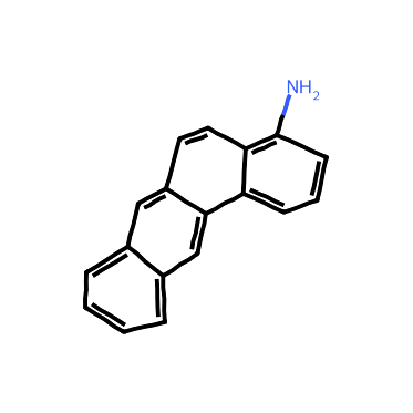 Nc1cccc2c1ccc1cc3ccccc3cc12